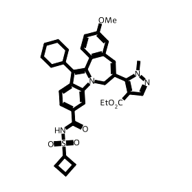 CCOC(=O)c1cnn(C)c1C1=Cc2cc(OC)ccc2-c2c(C3CCCCC3)c3ccc(C(=O)NS(=O)(=O)C4CCC4)cc3n2C1